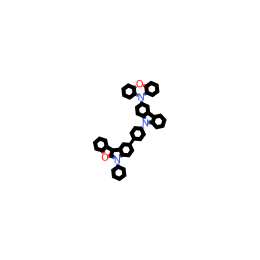 c1ccc(-n2c3ccc(-c4ccc(-n5c6ccccc6c6cc(N7c8ccccc8Oc8ccccc87)ccc65)cc4)cc3c3c4ccccc4oc32)cc1